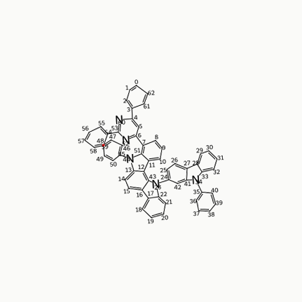 c1ccc(-c2cc(-c3cccc4c5c(ccc6c7ccccc7n(-c7ccc8c9ccccc9n(-c9ccccc9)c8c7)c65)n(-c5ccccc5)c34)nc(-c3ccccc3)n2)cc1